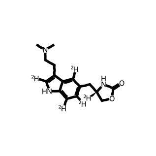 [2H]c1[nH]c2c([2H])c([2H])c(C[C@@]3([2H])COC(=O)N3)c([2H])c2c1CCN(C)C